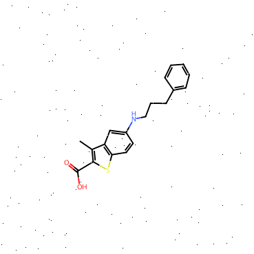 Cc1c(C(=O)O)sc2ccc(NCCCc3ccccc3)cc12